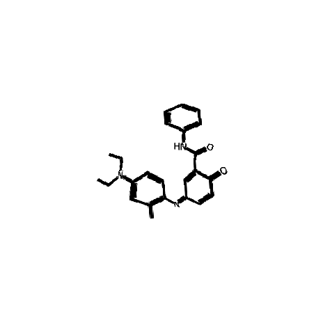 CCN(CC)c1ccc(N=C2C=CC(=O)C(C(=O)Nc3ccccc3)=C2)c(C)c1